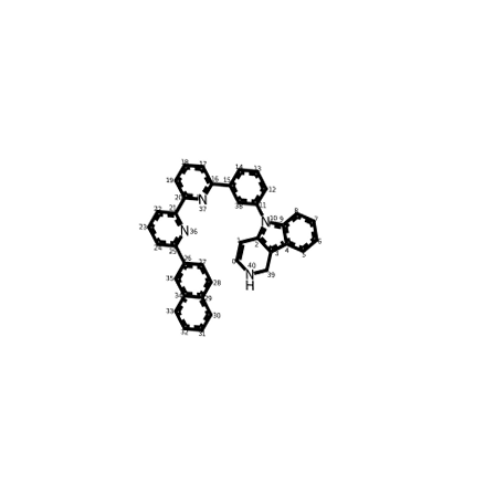 C1=Cc2c(c3ccccc3n2-c2cccc(-c3cccc(-c4cccc(-c5ccc6ccccc6c5)n4)n3)c2)CN1